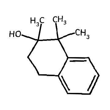 CC1(O)CCc2ccccc2C1(C)C